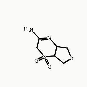 NC1=NC2COCC2S(=O)(=O)C1